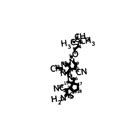 C[Si](C)(C)CCOCn1cc(C#N)c2c(N3CC4(CCc5sc(N)c(C#N)c54)C3)nc(Cl)nc21